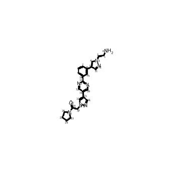 NCCn1cc(-c2cccc(-c3ncc(-c4cnn(CC(=O)N5CCCC5)c4)cn3)c2)cn1